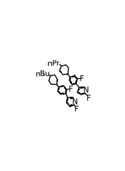 CCCC1CCC(c2ccc(-c3ccc(F)nc3)c(F)c2)CC1.CCCCC1CCC(c2ccc(-c3ccc(F)nc3)c(F)c2)CC1